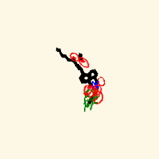 CCCCCC(C#Cc1ccc2c3c(cccc13)C(=O)N(OS(=O)(=O)C(F)(F)F)C2=O)OC(C)=O